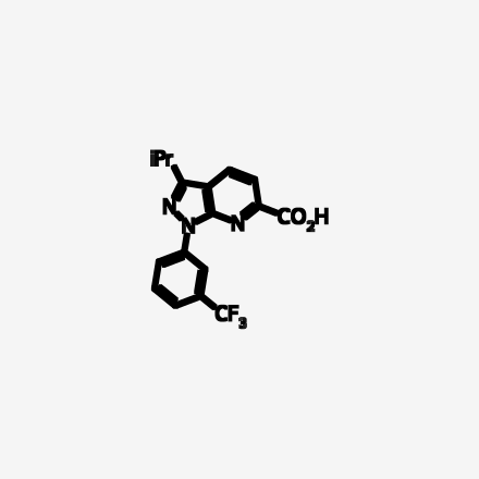 CC(C)c1nn(-c2cccc(C(F)(F)F)c2)c2nc(C(=O)O)ccc12